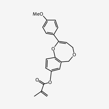 C=C(C)C(=O)Oc1ccc2c(c1)COC/C=C(/c1ccc(OC)cc1)O2